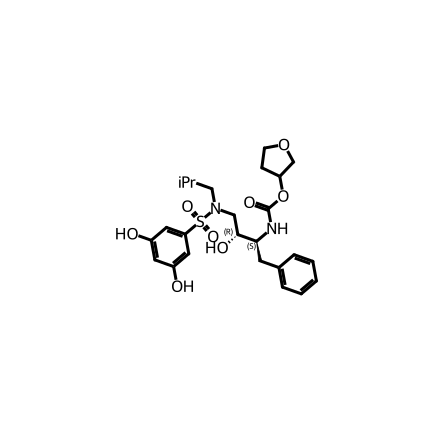 CC(C)CN(C[C@@H](O)[C@H](Cc1ccccc1)NC(=O)OC1CCOC1)S(=O)(=O)c1cc(O)cc(O)c1